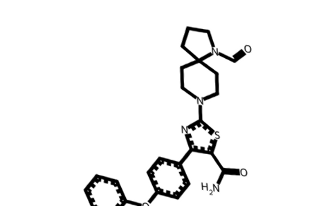 NC(=O)c1sc(N2CCC3(CCCN3C=O)CC2)nc1-c1ccc(Oc2ccccc2)cc1